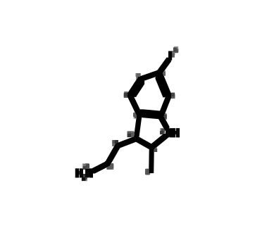 CC1Nc2cc(F)ccc2C1CCN